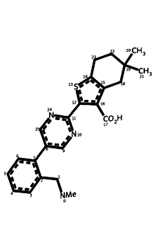 CNCc1ccccc1-c1cnc(-c2sc3c(c2C(=O)O)CC(C)(C)CC3)nc1